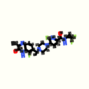 CCc1nc2ccc(C(C)N3CCN(c4ccc(C(=O)NC5CC5(F)F)nc4F)CC3)c(F)c2[nH]c1=O